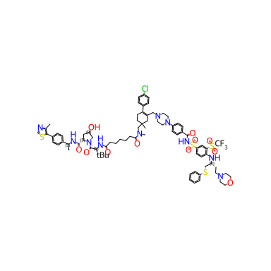 Cc1ncsc1-c1ccc([C@H](C)NC(=O)[C@@H]2C[C@@H](O)CN2C(=O)[C@@H](NC(=O)CCCCCC(=O)N(C)CC2(C)CCC(c3ccc(Cl)cc3)=C(CN3CCN(c4ccc(C(=O)NS(=O)(=O)c5ccc(N[C@H](CCN6CCOCC6)CSc6ccccc6)c(S(=O)(=O)C(F)(F)F)c5)cc4)CC3)C2)C(C)(C)C)cc1